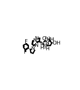 [2H]C1([2H])C[C@H](O)C([2H])([2H])N1C(=O)Nc1cnn2ccc(N3CCC[C@@H]3c3cc(F)ccc3F)nc12